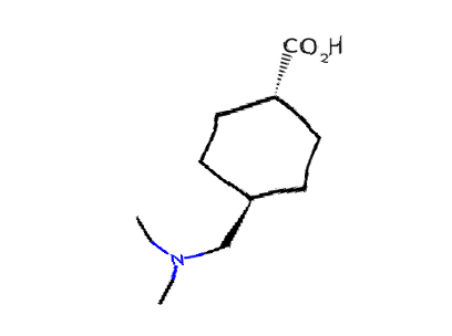 CN(C)C[C@H]1CC[C@H](C(=O)O)CC1